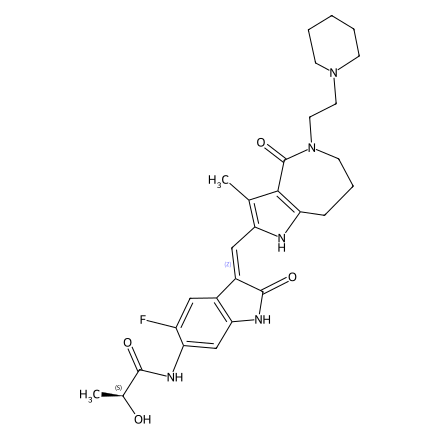 Cc1c(/C=C2\C(=O)Nc3cc(NC(=O)[C@H](C)O)c(F)cc32)[nH]c2c1C(=O)N(CCN1CCCCC1)CCC2